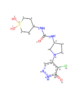 O=C(NC1CCS(O)(O)CC1)NC1CCN(c2cn[nH]c(=O)c2Cl)C1